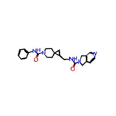 O=C(NCC1CC12CCN(C(=O)Nc1ccccc1)CC2)N1Cc2ccncc2C1